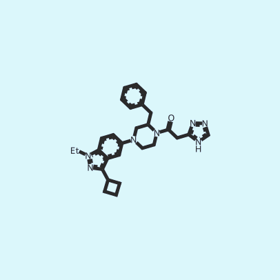 CCn1nc(C2CCC2)c2cc(N3CCN(C(=O)Cc4nnc[nH]4)C(Cc4ccccc4)C3)ccc21